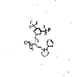 O=CNC(CCN1CCCCC1c1ccccc1)OCc1cc(C(F)(F)F)cc(C(F)(F)F)c1